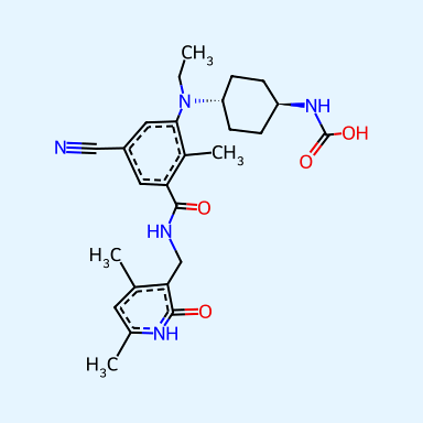 CCN(c1cc(C#N)cc(C(=O)NCc2c(C)cc(C)[nH]c2=O)c1C)[C@H]1CC[C@H](NC(=O)O)CC1